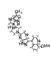 COc1cccc2c(-c3n[nH]c4nc(N5CC[C@@H]6[C@H](C5)[C@@]6(CN)c5cc(C)on5)cnc34)ccnc12